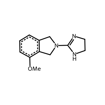 COc1cccc2c1CN(C1=NCCN1)C2